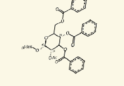 CCCCCCO[C@@H]1OC(COC(=O)c2ccccc2)[C@H](OC(=O)c2ccccc2)C(OC(=O)c2ccccc2)[C@@H]1OC(C)=O